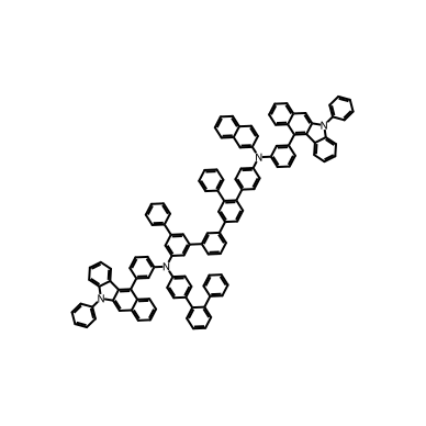 c1ccc(-c2cc(-c3cccc(-c4ccc(-c5ccc(N(c6cccc(-c7c8ccccc8cc8c7c7ccccc7n8-c7ccccc7)c6)c6ccc7ccccc7c6)cc5)c(-c5ccccc5)c4)c3)cc(N(c3ccc(-c4ccccc4-c4ccccc4)cc3)c3cccc(-c4c5ccccc5cc5c4c4ccccc4n5-c4ccccc4)c3)c2)cc1